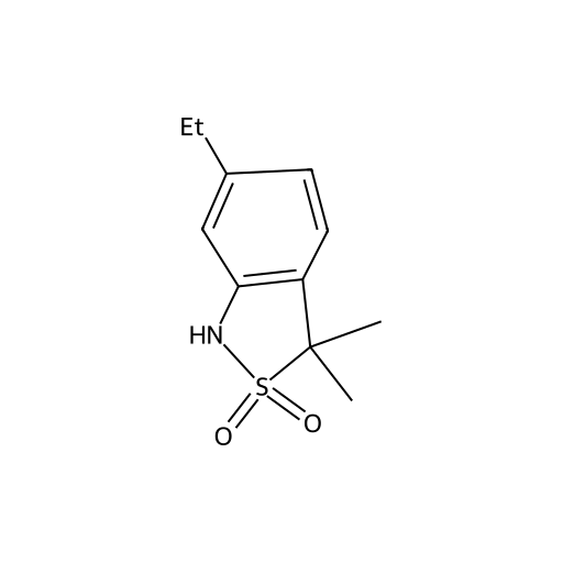 CCc1ccc2c(c1)NS(=O)(=O)C2(C)C